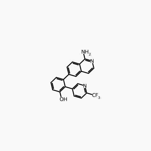 Nc1nccc2cc(-c3cccc(O)c3-c3ccc(C(F)(F)F)nc3)ccc12